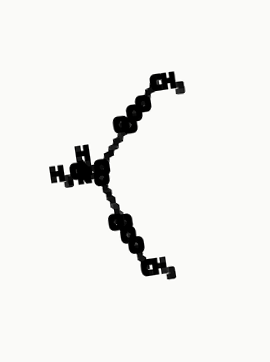 CCCCCCOCCOCCOC(=O)CCCCCCCCCCOc1cc2nc(C)[nH]c2cc1OCCCCCCCCCCC(=O)OCCOCCOCCCCCC